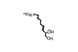 CCCCCCCCCCC=CC(O)CO